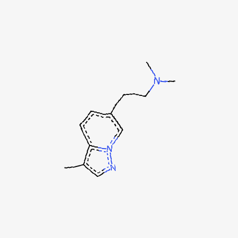 Cc1cnn2cc(CCN(C)C)ccc12